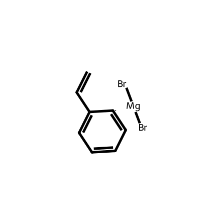 C=Cc1[c]cccc1.[Br][Mg][Br]